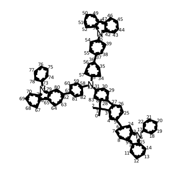 CC1(C)c2cc(-c3ccc4c5ccccc5n(-c5ccccc5)c4c3)ccc2-c2ccc(N(c3ccc(-c4ccc(-n5c6ccccc6c6ccccc65)cc4)cc3)c3ccc(-c4ccc5c6ccccc6n(-c6ccccc6)c5c4)cc3)cc21